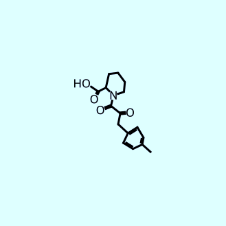 Cc1ccc(CC(=O)C(=O)N2CCCCC2C(=O)O)cc1